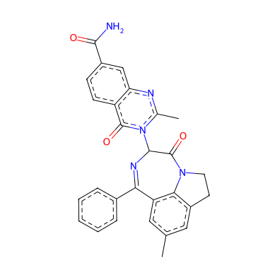 Cc1cc2c3c(c1)C(c1ccccc1)=NC(n1c(C)nc4cc(C(N)=O)ccc4c1=O)C(=O)N3CC2